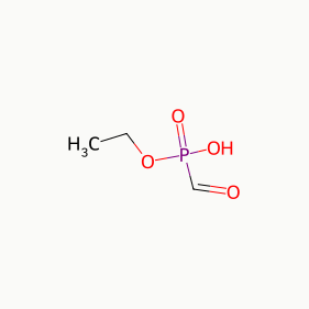 CCOP(=O)(O)C=O